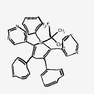 CC(C)(C)[Si]1(c2ccccc2)C(c2cncnc2)=C(c2ccccc2)C(c2ccccc2)=C1c1cncnc1